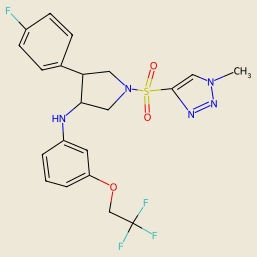 Cn1cc(S(=O)(=O)N2CC(Nc3cccc(OCC(F)(F)F)c3)C(c3ccc(F)cc3)C2)nn1